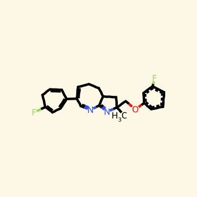 CC1(COc2cccc(F)c2)CC2CC/C=C(C3=CC=C(F)CC=C3)\C=N/C2=N1